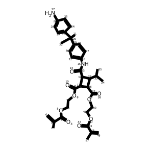 C=C(C)C(=O)OCCOC(=O)C1C(C(=O)Nc2ccc(C(C)(C)c3ccc(N)cc3)cc2)C(C(C)C)C1C(=O)OCCOC(=O)C(=C)C